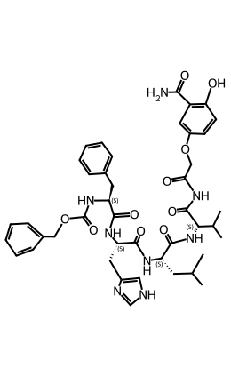 CC(C)C[C@H](NC(=O)[C@H](Cc1c[nH]cn1)NC(=O)[C@H](Cc1ccccc1)NC(=O)OCc1ccccc1)C(=O)N[C@H](C(=O)NC(=O)COc1ccc(O)c(C(N)=O)c1)C(C)C